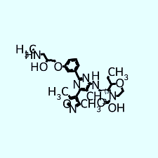 CCC1OCCN(C(=O)O)[C@H]1CNc1nc(-c2cccc(OCC(O)CNC)c2)nc(-c2c(C)noc2C)c1C